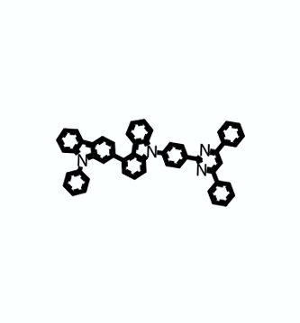 c1ccc(-c2cc(-c3ccccc3)nc(-c3ccc(-n4c5ccccc5c5c(-c6ccc7c8ccccc8n(-c8ccccc8)c7c6)cccc54)cc3)n2)cc1